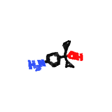 Nc1ccc(C(O)(C2CC2)C2CC2)cc1